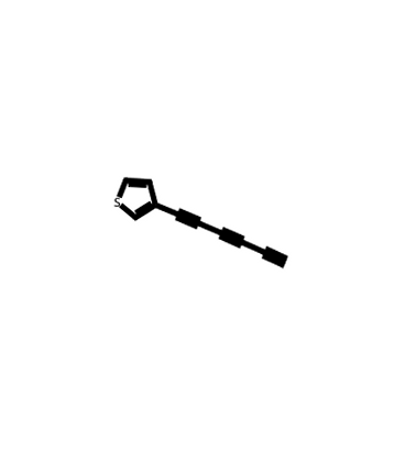 C#CC#CC#Cc1ccsc1